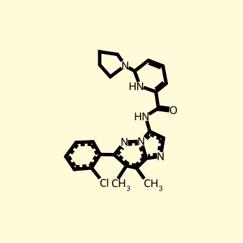 Cc1c(-c2ccccc2Cl)nn2c(NC(=O)C3=CC=CC(N4CCCC4)N3)cnc2c1C